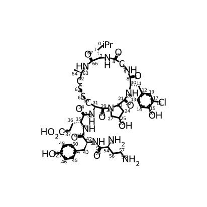 CC(C)C[C@@H]1NC(=O)CNC(=O)[C@H](Cc2ccc(O)c(Cl)c2)NC(=O)C2CC(O)CN2C(=O)[C@@H](NC(=O)[C@@H](CCC(=O)O)NC(=O)[C@H](Cc2ccc(O)cc2)NC(=O)[C@@H](N)CCN)CSSC[C@@H](C)NC1=O